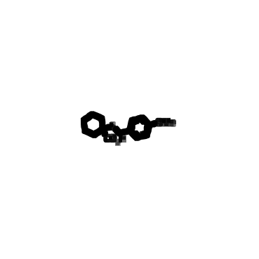 COc1ccc(CSC2(C(=O)O)CCCCC2)cc1